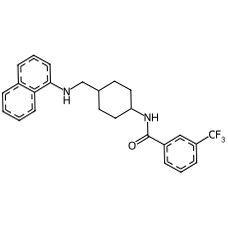 O=C(NC1CCC(CNc2cccc3ccccc23)CC1)c1cccc(C(F)(F)F)c1